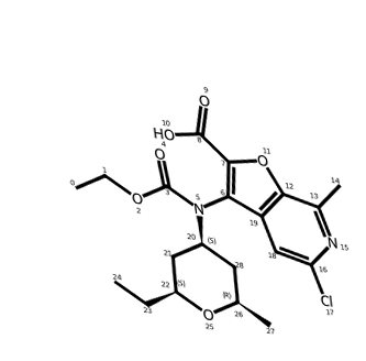 CCOC(=O)N(c1c(C(=O)O)oc2c(C)nc(Cl)cc12)[C@@H]1C[C@H](CC)O[C@H](C)C1